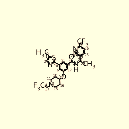 Cc1cnc(-c2cc(OC3CCN(CC(F)(F)F)CC3)cc(C(=O)NC(C)c3ccc(C(F)(F)F)nn3)c2)s1